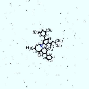 CCC(CC(C(C)(C)C)C(C)(C)C)C1C(C)C(N2CCC(C)CC(C)C3CC(C4CCCCC4)CCC32)CC(C2CC(C(C)(C)C)CC(C(C)(C)C)C2)C1CC